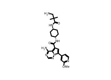 COc1cc(-c2cc(C(=O)N[C@H]3CC[C@H](NC(=O)C(C)(C)CN)CC3)c3c(N)ncnn23)ccn1